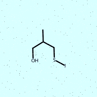 CC(CO)CSI